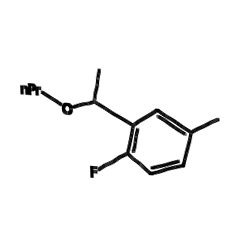 CCCOC(C)c1cc(C)ccc1F